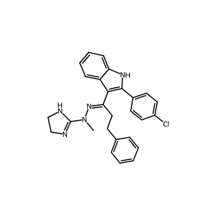 CN(N=C(CCc1ccccc1)c1c(-c2ccc(Cl)cc2)[nH]c2ccccc12)C1=NCCN1